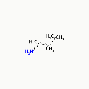 CC(C)CCC[C@@H](C)CCC[C@@H](C)CCCN